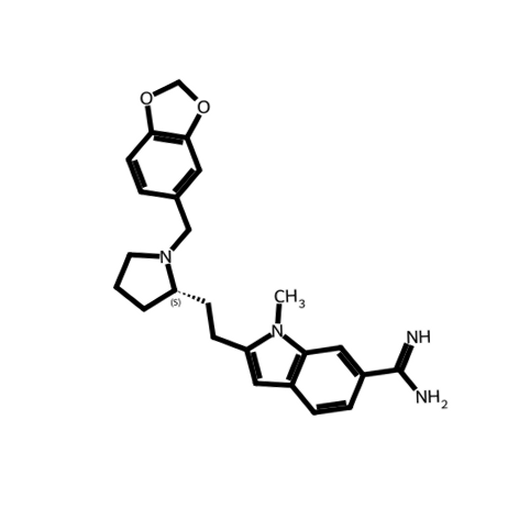 Cn1c(CC[C@@H]2CCCN2Cc2ccc3c(c2)OCO3)cc2ccc(C(=N)N)cc21